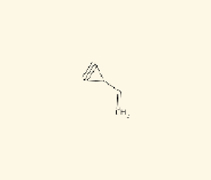 C=CC1C#C1